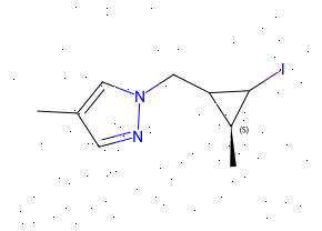 Cc1cnn(CC2C(I)[C@H]2C)c1